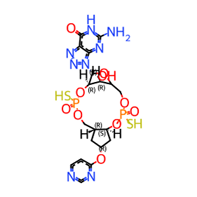 Nc1nc2c(nnn2[C@@H]2OC3COP(=O)(S)O[C@H]4C[C@H](Oc5ccncn5)C[C@@H]4COP(=O)(S)O[C@@H]2[C@@H]3O)c(=O)[nH]1